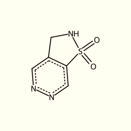 O=S1(=O)NCc2cnncc21